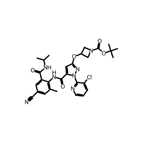 Cc1cc(C#N)cc(C(=O)NC(C)C)c1NC(=O)c1cc(OC2CN(C(=O)OC(C)(C)C)C2)nn1-c1ncccc1Cl